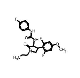 CCCN1CC(c2c(F)cc(OC)cc2F)C(NC(=O)Nc2ccc(F)cc2)C1=O